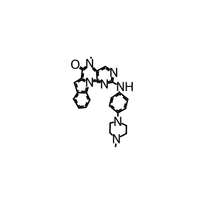 CN1CCN(c2ccc(Nc3ncc4c(n3)n3c(cc5ccccc53)c(=O)n4C)cc2)CC1